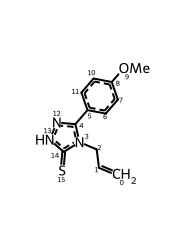 C=CCn1c(-c2ccc(OC)cc2)n[nH]c1=S